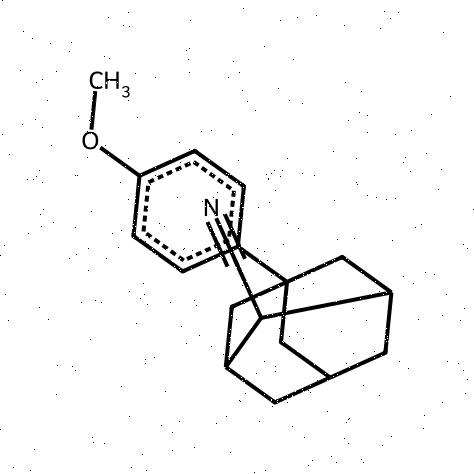 COc1ccc(C23CC4CC(C2)C(C#N)C(C4)C3)cc1